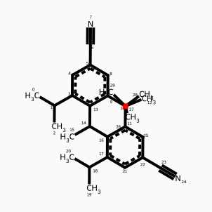 CC(C)c1cc(C#N)cc(C(C)C)c1C(C)c1c(C(C)C)cc(C#N)cc1C(C)C